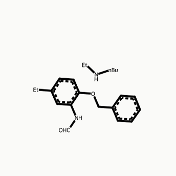 CCCCNCC.CCc1ccc(OCc2ccccc2)c(NC=O)c1